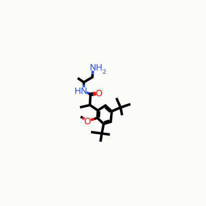 COc1c(C(C)C(=O)NC(C)CN)cc(C(C)(C)C)cc1C(C)(C)C